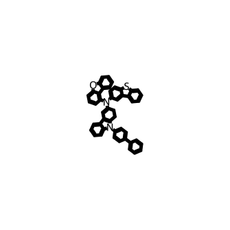 C1=C(N(c2ccc3sc4ccccc4c3c2)c2cccc3oc4ccccc4c23)CCc2c1c1ccccc1n2-c1ccc(-c2ccccc2)cc1